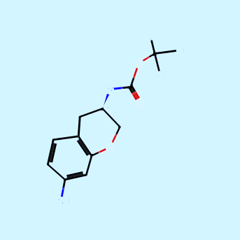 CC(C)(C)OC(=O)N[C@H]1COc2cc(N)ccc2C1